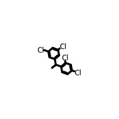 C[C](c1cc(Cl)cc(Cl)c1)c1ccc(Cl)cc1Cl